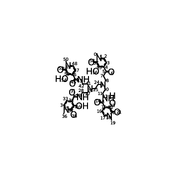 Cn1ccc(C(=O)CCN(CCNC(=O)c2ccn(C)c(=O)c2O)CCN(CCNC(=O)c2ccn(C)c(=O)c2O)CCNC(=O)c2ccn(C)c(=O)c2O)c(O)c1=O